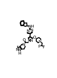 O=C(Cn1cc(-c2cnc(NC3Cc4ccccc4C3)nc2)c(OC2CCN(CC(F)F)CC2)n1)N1CCc2[nH]nnc2C1